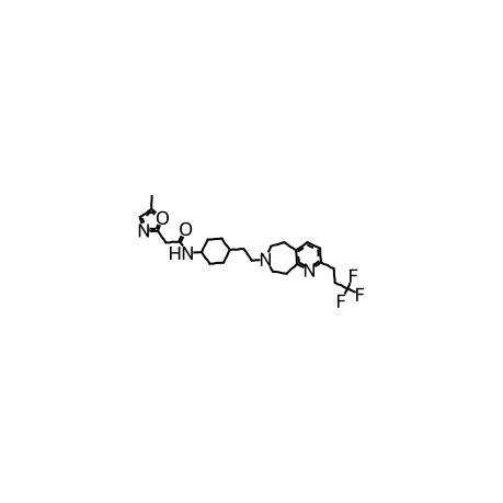 Cc1cnc(CC(=O)NC2CCC(CCN3CCc4ccc(CCC(F)(F)F)nc4CC3)CC2)o1